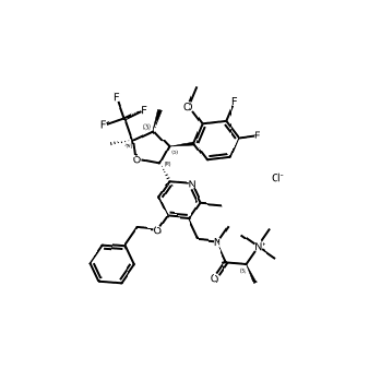 COc1c([C@H]2[C@H](c3cc(OCc4ccccc4)c(CN(C)C(=O)[C@H](C)[N+](C)(C)C)c(C)n3)O[C@@](C)(C(F)(F)F)[C@H]2C)ccc(F)c1F.[Cl-]